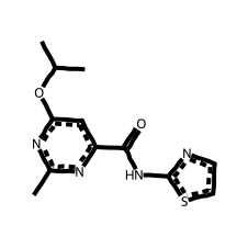 Cc1nc(OC(C)C)cc(C(=O)Nc2nccs2)n1